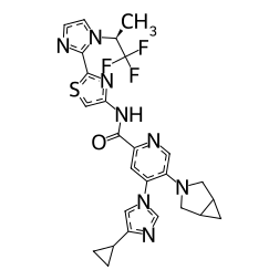 C[C@H](n1ccnc1-c1nc(NC(=O)c2cc(-n3cnc(C4CC4)c3)c(N3CC4CC4C3)cn2)cs1)C(F)(F)F